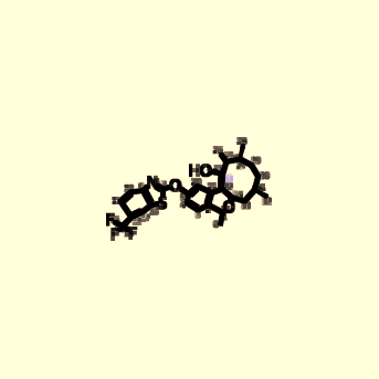 CCc1ccc(Oc2nc3ccc(C(F)(F)F)cc3s2)cc1/C1=C(\O)C(C)[C@@H](C)CC[C@@H](C)CC1=O